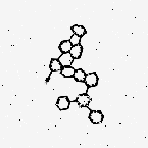 N#Cc1ccc(-c2ccc3c4c(ccc(C5=CCCc6cc7c(-c8nc(C9=CC=CCC9)nc(-c9ccccc9)n8)cccc7cc65)c24)-c2ccccc2-3)cc1